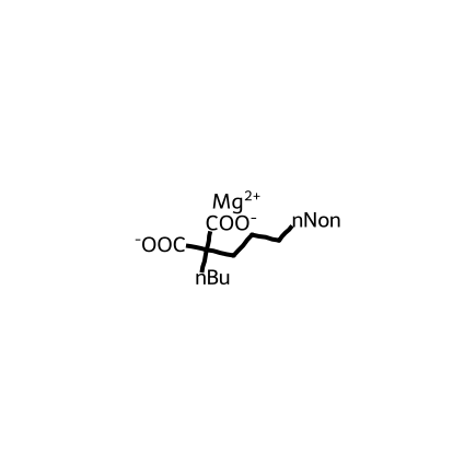 CCCCCCCCCCCCC(CCCC)(C(=O)[O-])C(=O)[O-].[Mg+2]